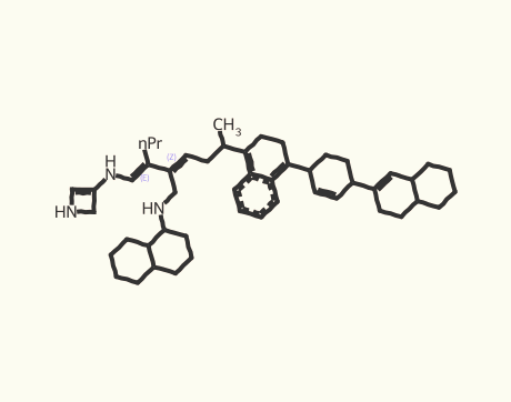 CCCC(=C\NC1=CNC1)/C(=C/CC(C)C1=c2ccccc2=C(C2C=CC(C3=CC4CCCCC4CC3)CC2)CC1)CNC1CCCC2CCCCC21